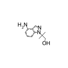 CC(C)(CO)n1ncc2c(N)cccc21